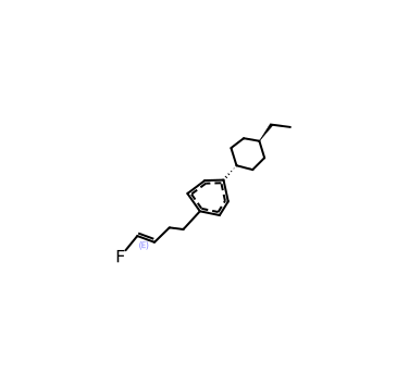 CC[C@H]1CC[C@H](c2ccc(CC/C=C/F)cc2)CC1